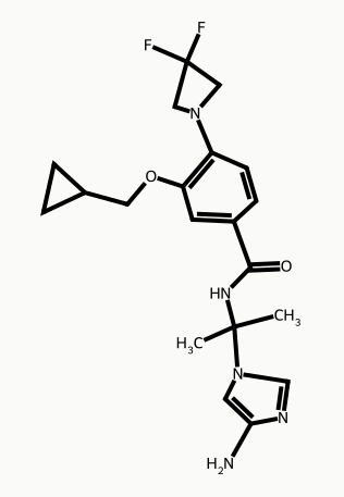 CC(C)(NC(=O)c1ccc(N2CC(F)(F)C2)c(OCC2CC2)c1)n1cnc(N)c1